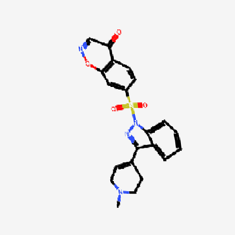 CN1CC=C(c2nn(S(=O)(=O)c3ccc4c(=O)cnoc4c3)c3ccccc23)CC1